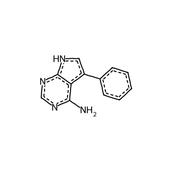 Nc1ncnc2[nH]cc(-c3ccccc3)c12